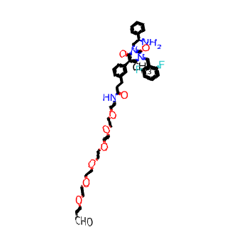 Cc1c(-c2cccc(CCC(=O)NCCOCCOCCOCCOCCOCCOCCC=O)c2)c(=O)n(C[C@H](N)c2ccccc2)c(=O)n1Cc1c(F)cccc1F